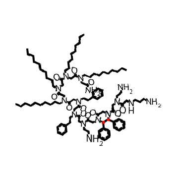 CCCCCCCCCCN(CC(N)=O)C(=O)CN(CCCCCCCCCC)C(=O)CN(CCCCCCCCCC)C(=O)CN(CCCCCCCCCC)C(=O)CN(CCc1ccccc1)C(=O)CN(CCc1ccccc1)C(=O)CN(CCN)C(=O)CN(CCc1ccccc1)C(=O)CN(CCc1ccccc1)C(=O)CN(CCN)C(=O)CNCCCN